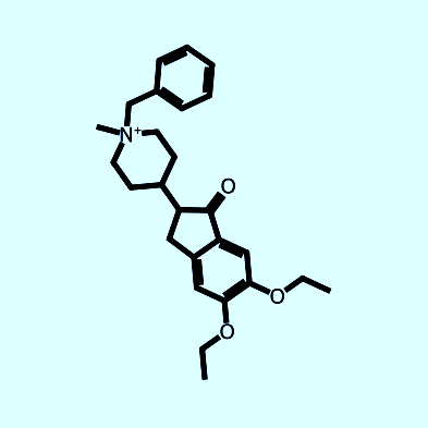 CCOc1cc2c(cc1OCC)C(=O)C(C1CC[N+](C)(Cc3ccccc3)CC1)C2